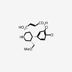 COC[C@@H]1CNCC[C@@H]1c1ccc(Cl)c(Cl)c1.O=C(O)C=CC(=O)O